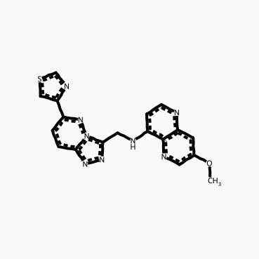 COc1cnc2c(NCc3nnc4ccc(-c5cscn5)nn34)ccnc2c1